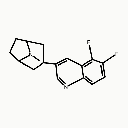 CN1C2CCC1CC(c1cnc3ccc(F)c(F)c3c1)C2